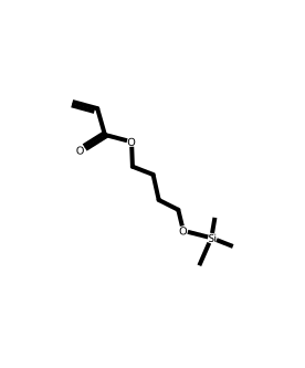 C=CC(=O)OCCCCO[Si](C)(C)C